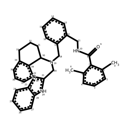 Cc1cccc(C)c1C(=O)NCc1ccccc1CN(Cc1nc2ccccc2[nH]1)C1CCCc2cccnc21